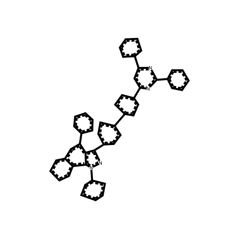 c1ccc(-c2cc(-c3ccc(-c4ccc(-c5nn(-c6ccccc6)c6c5c(-c5ccccc5)cc5ccccc56)cc4)cc3)nc(-c3ccccc3)n2)cc1